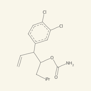 C=CC(c1ccc(Cl)c(Cl)c1)C(CC(C)C)OC(N)=O